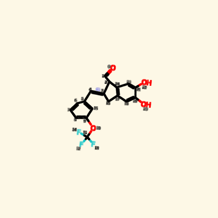 O=CC1/C(=C/c2cccc(OC(F)(F)F)c2)Cc2cc(O)c(O)cc21